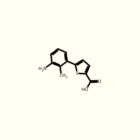 Cc1c(N)cccc1-c1ccc(C(=O)O)s1